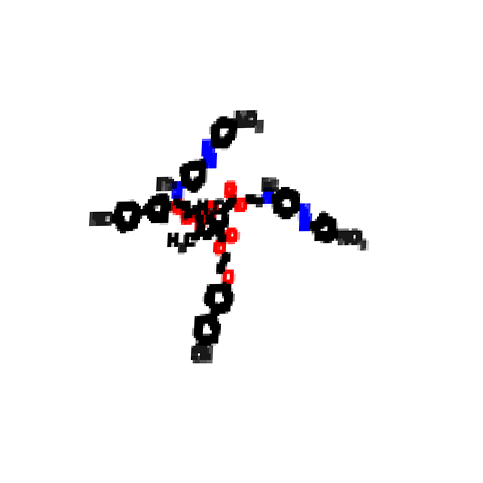 CCN(CCOC(=O)C(C)CC(CC(C)C(=O)OCCN(CC)c1ccc(/N=N/c2ccc([N+](=O)[O-])cc2)cc1)(C(=O)OCCOc1ccc(-c2ccc(C#N)cc2)cc1)C(=O)OCCOc1ccc(-c2ccc(C#N)cc2)cc1)c1ccc(/N=N/c2ccc([N+](=O)[O-])cc2)cc1